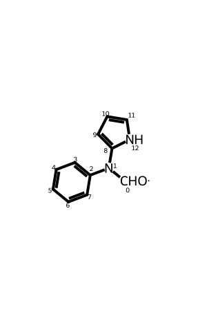 O=[C]N(c1ccccc1)c1ccc[nH]1